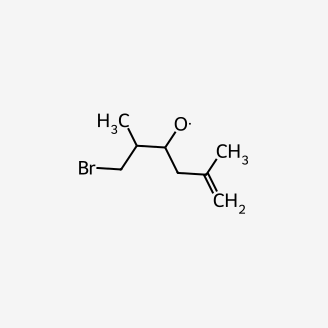 C=C(C)CC([O])C(C)CBr